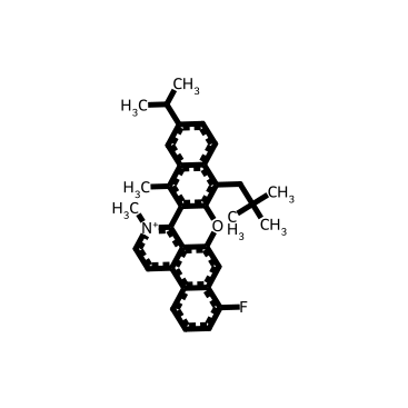 Cc1c2c(c(CC(C)(C)C)c3ccc(C(C)C)cc13)Oc1cc3c(F)cccc3c3cc[n+](C)c-2c13